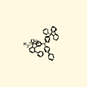 CC1(C)c2ccc(N(c3ccc(-c4ccccc4)cc3)c3ccc(C4(c5ccccc5)c5ccccc5-c5ccccc54)cc3)cc2-c2c(-c3ccccc3)cccc21